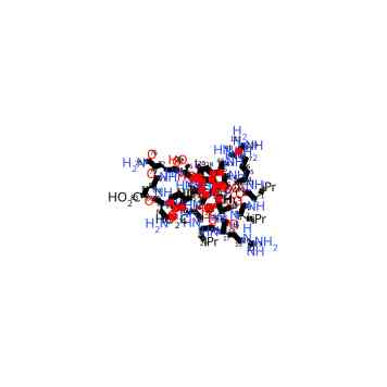 CC(C)C[C@H](NC(=O)[C@H](CC(C)C)NC(=O)[C@@H](NC(=O)[C@H](CCCNC(=N)N)NC(=O)[C@H](CC(C)C)NC(=O)[C@H](CC(=O)O)NC(=O)[C@@H](NC(=O)[C@H](CCCNC(=N)N)NC(=O)[C@H](Cc1ccccc1)NC(=O)[C@H](CO)NC(=O)[C@H](CCC(N)=O)NC(=O)[C@H](CCC(=O)O)NC(=O)[C@H](CC(N)=O)NC(=O)CN)C(C)C)C(C)O)C(=O)NC(CCCNC(=N)N)C(=O)N[C@@H](Cc1cc(I)c(O)c(I)c1)C(=O)N[C@@H](C)C(=O)O